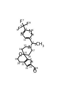 CC(c1cnc(C(F)(F)F)nc1)N1CCC2(CC1)OCCc1cc(C=O)sc12